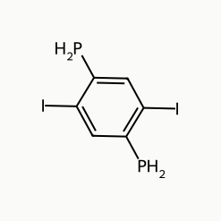 Pc1cc(I)c(P)cc1I